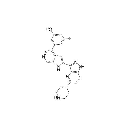 Oc1cc(F)cc(-c2cncc3[nH]c(-c4n[nH]c5ccc(C6=CCNCC6)nc45)cc23)c1